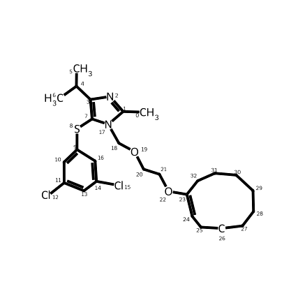 Cc1nc(C(C)C)c(Sc2cc(Cl)cc(Cl)c2)n1COCCO/C1=C/CCCCCCCC1